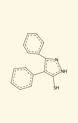 Sc1[nH]nc(-c2ccccc2)c1-c1ccccc1